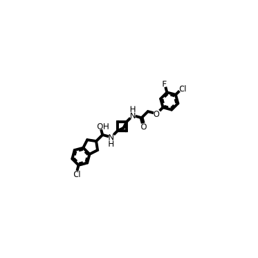 O=C(COc1ccc(Cl)c(F)c1)NC12CC(NC(O)C3Cc4ccc(Cl)cc4C3)(C1)C2